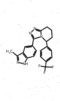 Cc1n[nH]c2ccc(-c3nnc4n3C(c3ccc(C(F)(F)F)cc3)CCC4)cc12